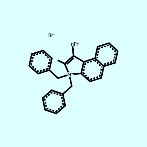 CCCC1=C(C)[N+](Cc2ccccc2)(Cc2ccccc2)c2ccc3ccccc3c21.[Br-]